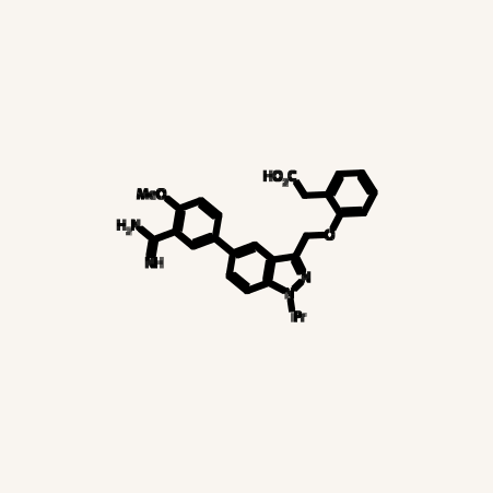 COc1ccc(-c2ccc3c(c2)c(COc2ccccc2CC(=O)O)nn3C(C)C)cc1C(=N)N